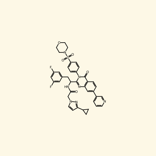 O=C(Cn1ccc(C2CC2)n1)NC(Cc1cc(F)cc(F)c1)c1nc2cc(-c3cccnc3)ccc2c(=O)n1-c1ccc(S(=O)(=O)N2CCOCC2)cc1